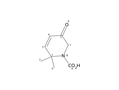 CC1(C)C=CC(=O)CN1C(=O)O